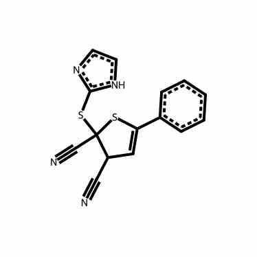 N#CC1C=C(c2ccccc2)SC1(C#N)Sc1ncc[nH]1